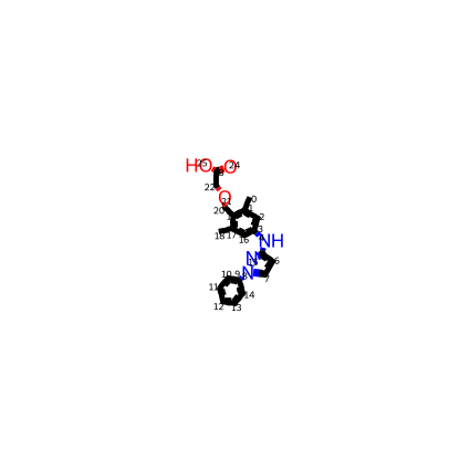 Cc1cc(Nc2ccn(-c3ccccc3)n2)cc(C)c1COCC(=O)O